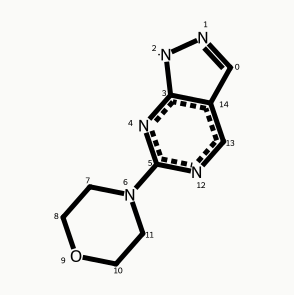 C1=N[N]c2nc(N3CCOCC3)ncc21